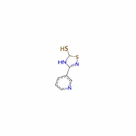 SC1NC(c2cccnc2)=NS1